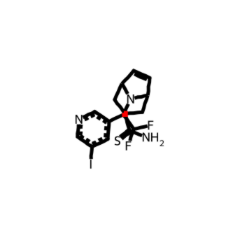 NC(=S)C1(c2cncc(I)c2)CC2C=CC(C1)N2CC(F)F